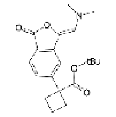 CN(C)C=C1OC(=O)c2ccc(C3(C(=O)OC(C)(C)C)CCC3)cc21